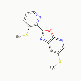 CCSc1cccnc1-c1nc2cc(SC(F)(F)F)cnc2o1